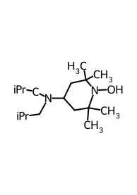 CC(C)CN(CC(C)C)C1CC(C)(C)N(O)C(C)(C)C1